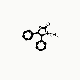 CN1C(=O)SC(c2ccccc2)C1c1ccccc1